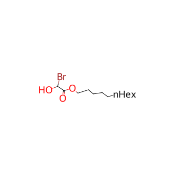 CCCCCCCCCCCOC(=O)C(O)Br